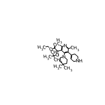 CCOC(=O)[C@@H](OC(C)(C)C)c1c(C)nc(C)c(C2=CCNCC2)c1N1CCC(C)(C)CC1